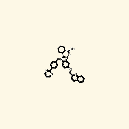 O=C(O)[C@@H]1CCCC[C@@H]1c1nc2cc(OCc3ccc4ccccc4n3)ccc2n1Cc1ccc(-c2ncccn2)cc1